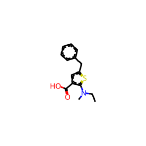 CCN(C)c1sc(Cc2ccccc2)cc1C(=O)O